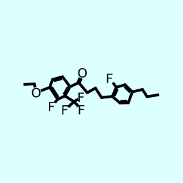 CCCc1ccc(CCCC(=O)c2ccc(OCC)c(F)c2C(F)(F)F)c(F)c1